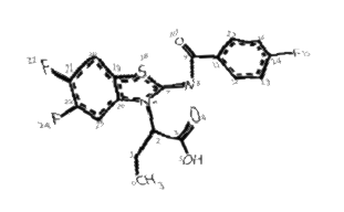 CCC(C(=O)O)n1/c(=N/C(=O)c2ccc(F)cc2)sc2cc(F)c(F)cc21